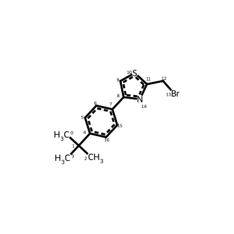 CC(C)(C)c1ccc(-c2csc(CBr)n2)cc1